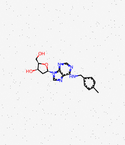 Cc1ccc(CNc2ncnc3c2ncn3[C@H]2C[C@@H](O)[C@@H](CO)O2)cc1